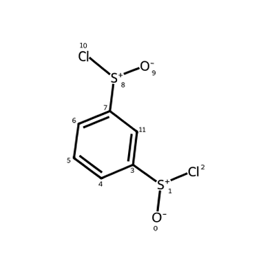 [O-][S+](Cl)c1cccc([S+]([O-])Cl)c1